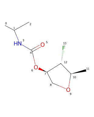 CC(C)NC(=O)O[C@@H]1CO[C@H](C)[C@H]1F